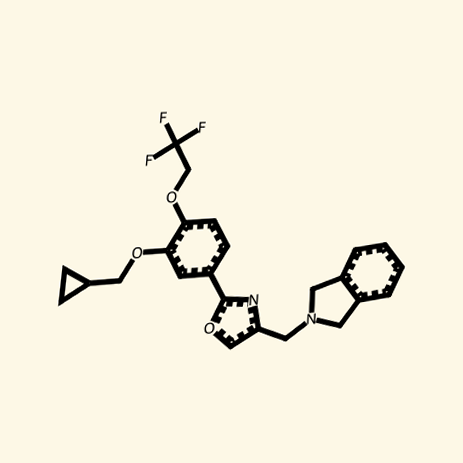 FC(F)(F)COc1ccc(-c2nc(CN3Cc4ccccc4C3)co2)cc1OCC1CC1